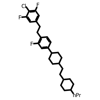 CCCC1CCC(CCC2CCC(c3ccc(CCc4cc(F)c(Cl)c(F)c4)c(F)c3)CC2)CC1